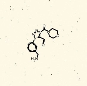 NCc1cccc(-[n+]2nnn(C(=O)N3CCOCC3)c2C=O)c1